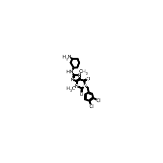 Cn1c(NC2CCCC(N)C2)nc2c1c(=O)n(Cc1ccc(Cl)c(Cl)c1)c(=O)n2C